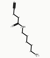 C#CCCC(=O)NCCCCCN